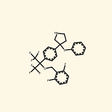 Fc1cccc(F)c1COC(c1ccc(C2(Sc3ccccc3)CCNC2)cc1)(C(F)(F)F)C(F)(F)F